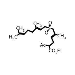 CCOC(=O)C(CC=C(C)CS(=O)(=O)C/C=C(\C)CCC=C(C)C)C(C)=O